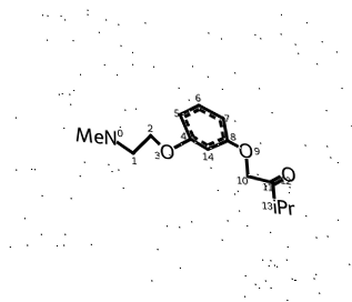 CNCCOc1cccc(OCC(=O)C(C)C)c1